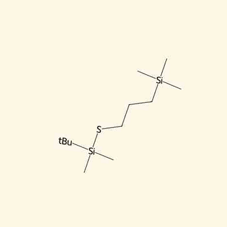 CC(C)(C)[Si](C)(C)SCCC[Si](C)(C)C